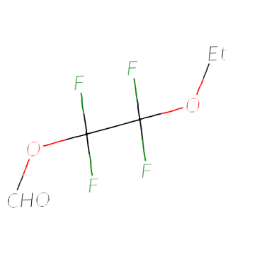 CCOC(F)(F)C(F)(F)OC=O